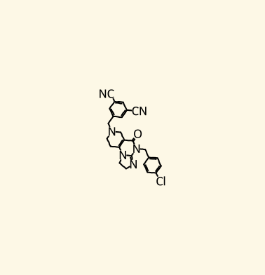 N#Cc1cc(C#N)cc(CN2CCC3=C(C2)C(=O)N(Cc2ccc(Cl)cc2)C2=NCCN23)c1